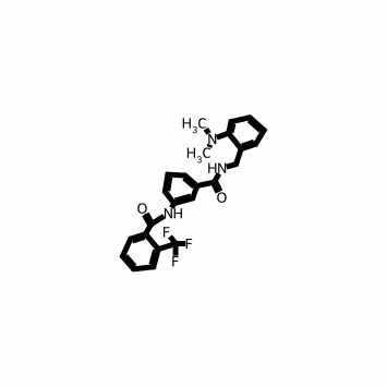 CN(C)c1ccccc1CNC(=O)c1cccc(NC(=O)c2ccccc2C(F)(F)F)c1